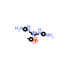 CC[N+](C)(CCCNc1ccc(N)cc1)CCCNc1ccc(N)cc1.Cc1ccc(S(=O)(=O)[O-])cc1